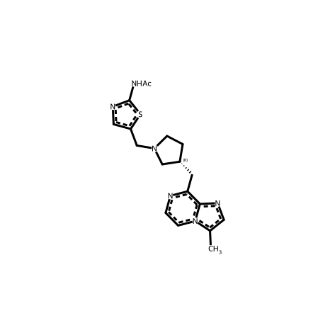 CC(=O)Nc1ncc(CN2CC[C@H](Cc3nccn4c(C)cnc34)C2)s1